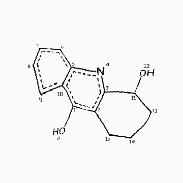 Oc1c2c(nc3ccccc13)C(O)CCC2